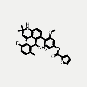 COc1cc(OC(=O)c2ccco2)ccc1-c1ccc2c(c1C(N)c1cc(F)ccc1C)C(C)=CC(C)(C)N2